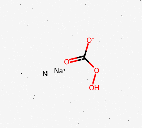 O=C([O-])OO.[Na+].[Ni]